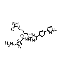 Cn1ccc(-c2ccc(-c3cnc([C@H](CCCCCC(N)=O)NC(=O)c4cnc(CN)s4)[nH]3)cc2)n1